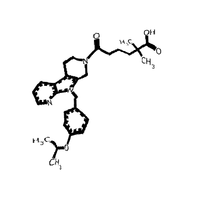 CC(C)Oc1ccc(Cn2c3c(c4cccnc42)CCN(C(=O)CCCC(C)(C)C(=O)O)C3)cc1